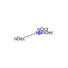 CCCCCCCCCCCCCCCCCN1C=CN(CCCCCCCCCCC)C1CCCCCCCC